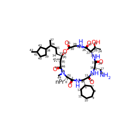 CCC[C@H]1C(=O)N[C@@H](C2CCCCCC2)C(=O)N[C@@H](CN)C(=O)N[C@@H]([C@H](C)O)C(=O)NCC(=O)O[C@H](CCC(C)C2CCC(C)C2)[C@@H](C)C(=O)N1C